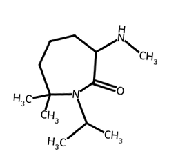 CNC1CCCC(C)(C)N(C(C)C)C1=O